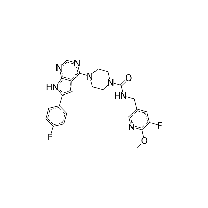 COc1ncc(CNC(=O)N2CCN(c3ncnc4[nH]c(-c5ccc(F)cc5)cc34)CC2)cc1F